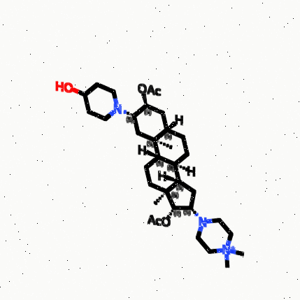 CC(=O)O[C@H]1C[C@@H]2CC[C@@H]3[C@H](CC[C@@]4(C)[C@H]3C[C@H](N3CC[N+](C)(C)CC3)[C@@H]4OC(C)=O)[C@@]2(C)C[C@@H]1N1CCC(O)CC1